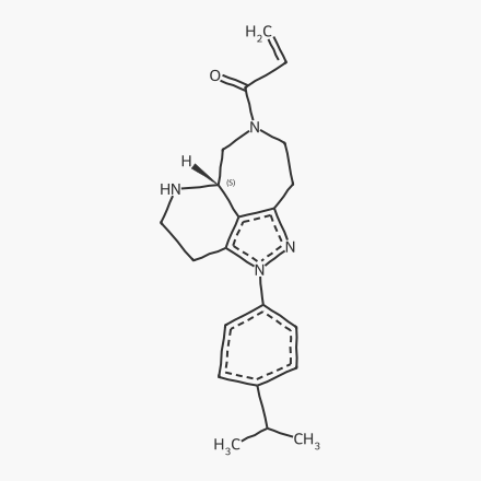 C=CC(=O)N1CCc2nn(-c3ccc(C(C)C)cc3)c3c2[C@@H](C1)NCC3